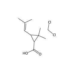 CC(C)=CC1C(C(=O)O)C1(C)C.ClCCl